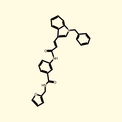 O=C(C=Cc1cn(Cc2ccccc2)c2ccccc12)Nc1cccc(C(=O)NCc2ccco2)c1